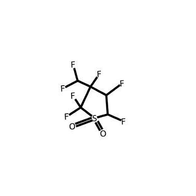 O=S1(=O)C(F)C(F)C(F)(C(F)F)C1(F)F